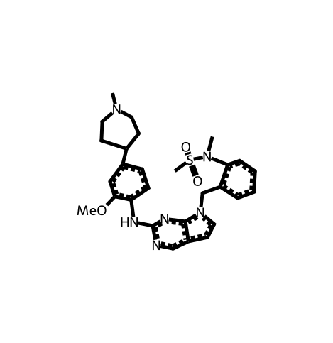 COc1cc(C2CCN(C)CC2)ccc1Nc1ncc2ccn(Cc3ccccc3N(C)S(C)(=O)=O)c2n1